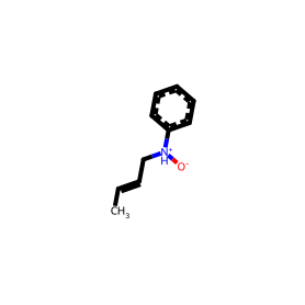 CC=CC[NH+]([O-])c1ccccc1